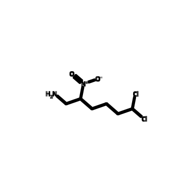 NCC(CCCC(Cl)Cl)[N+](=O)[O-]